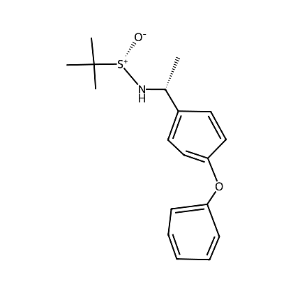 C[C@@H](N[S@@+]([O-])C(C)(C)C)c1ccc(Oc2ccccc2)cc1